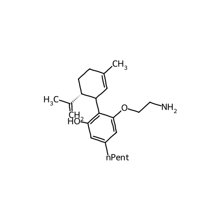 C=C(C)[C@@H]1CCC(C)=CC1c1c(O)cc(CCCCC)cc1OCCN